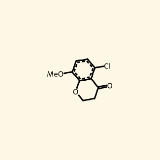 COc1ccc(Cl)c2c1OCCC2=O